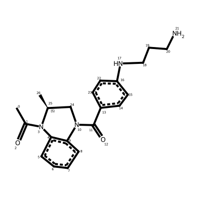 CC(=O)N1c2ccccc2N(C(=O)c2ccc(NCCCN)cc2)C[C@@H]1C